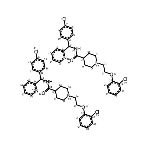 O=C(NC(c1ccc(Cl)cc1)c1ccccn1)C1CCN(CCOc2ccccc2Cl)CC1.O=C(NC(c1ccc(Cl)cc1)c1ccccn1)C1CCN(CCOc2ccccc2Cl)CC1